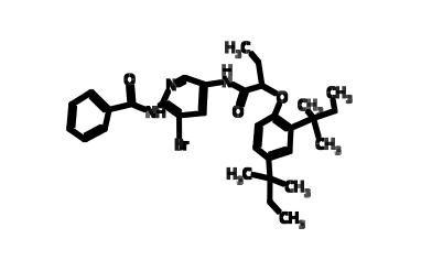 CCC(Oc1ccc(C(C)(C)CC)cc1C(C)(C)CC)C(=O)Nc1cnc(NC(=O)c2ccccc2)c(Br)c1